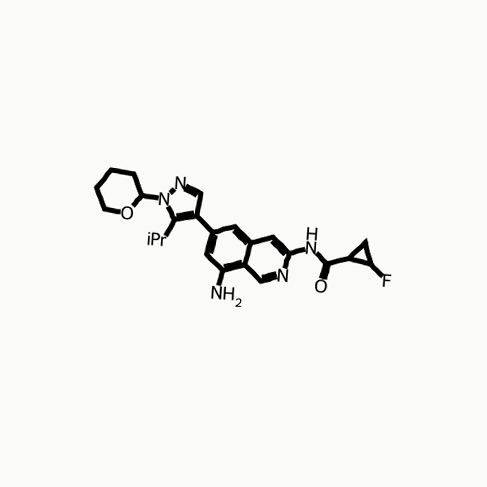 CC(C)c1c(-c2cc(N)c3cnc(NC(=O)C4CC4F)cc3c2)cnn1C1CCCCO1